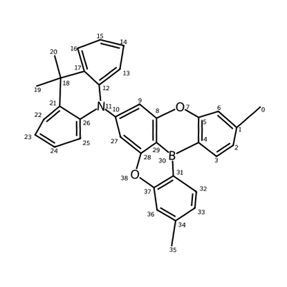 Cc1ccc2c(c1)Oc1cc(N3c4ccccc4C(C)(C)c4ccccc43)cc3c1B2c1ccc(C)cc1O3